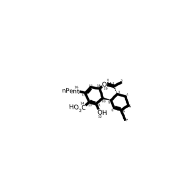 C=C(C)[C@@H]1CCC(C)=C[C@H]1C1C(O)=C(C(=O)O)C(CCCCC)=CC1O